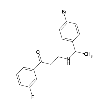 CC(NCCC(=O)c1cccc(F)c1)c1ccc(Br)cc1